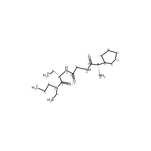 BCN(CCC)C(=S)[C@H](CC)NC(=O)CNC(=O)[C@@H](N)C1CCCCC1